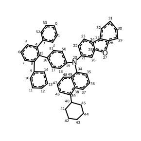 c1ccc(-c2cccc(-c3ccccc3)c2-c2ccc(N(c3ccc4c(c3)oc3ccccc34)c3cccc4c(C5CCCCC5)cccc34)cc2)cc1